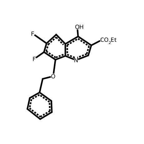 CCOC(=O)c1cnc2c(OCc3ccccc3)c(F)c(F)cc2c1O